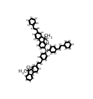 CC1(C)c2ccccc2-c2ccc(/C=C/c3ccc(N(c4ccc(/C=C/c5ccccc5)cc4)c4ccc5c(c4)C(C)(C)c4cc(/C=C/c6ccccc6)ccc4-5)cc3)cc21